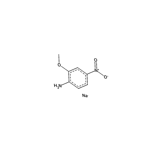 COc1cc([N+](=O)[O-])ccc1N.[Na]